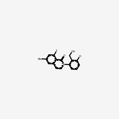 CC(C)(C)c1cc(F)c2c(=O)n(-c3cccc(Cl)c3CO)ccc2c1